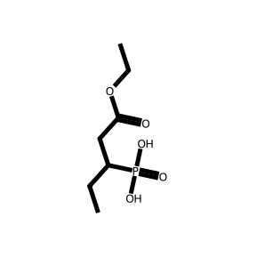 CCOC(=O)CC(CC)P(=O)(O)O